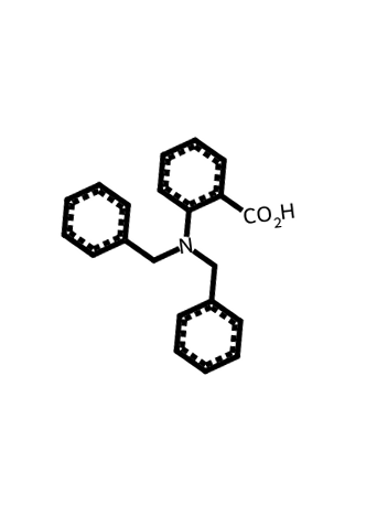 O=C(O)c1ccccc1N(Cc1ccccc1)Cc1ccccc1